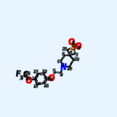 O=S1(=O)CC2(CCN(CCOc3ccc(OC(F)(F)F)cc3)CC2)C1